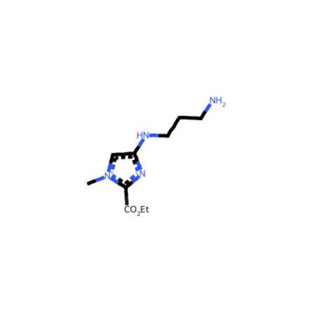 CCOC(=O)c1nc(NCCCN)cn1C